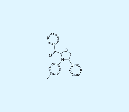 Cc1ccc(N2C(C(=O)c3ccccc3)OCC2c2ccccc2)cc1